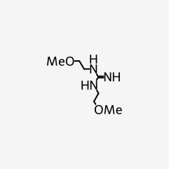 COCCNC(=N)NCCOC